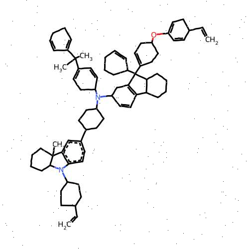 C=CC1C=CC(OC2CC=C(C3(C4C=CCCC4)C4=C(C=CC(N(C5C=CC(C(C)(C)C6=CCCC=C6)=CC5)C5CCC(c6ccc7c(c6)C6(C)CCCCC6N7C6CCC(C=C)CC6)CC5)C4)C4CCCCC43)CC2)=CC1